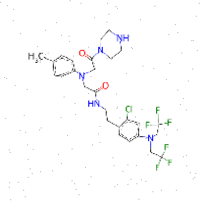 Cc1ccc(N(CC(=O)NCCc2ccc(N(CC(F)(F)F)CC(F)(F)F)cc2Cl)CC(=O)N2CCNCC2)cc1